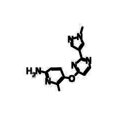 Cc1nc(N)ccc1Oc1ccnc(-c2cnn(C)c2)n1